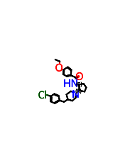 CCOc1ccc(C(=O)N[C@@H]2CCC[C@H]2N2CCC(Cc3ccc(Cl)cc3)CC2)cc1